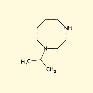 CC(C)N1CCCCNCC1